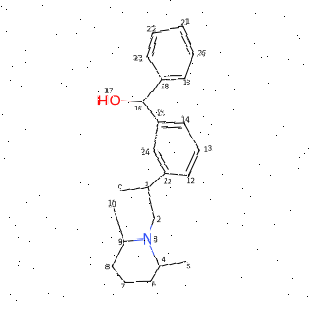 CC(CN1C(C)CCCC1C)c1cccc(C(O)c2ccccc2)c1